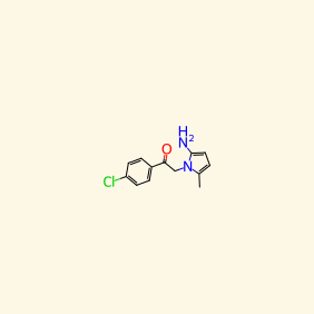 Cc1ccc(N)n1CC(=O)c1ccc(Cl)cc1